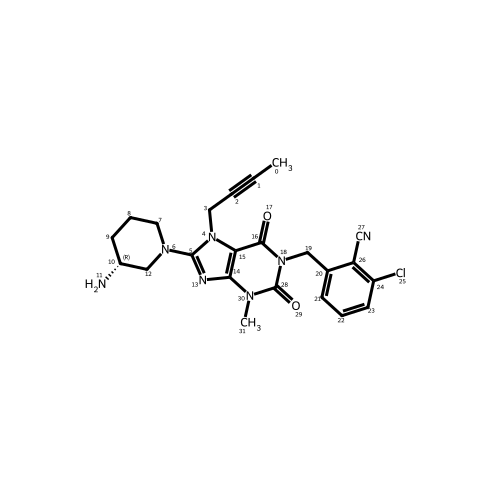 CC#CCn1c(N2CCC[C@@H](N)C2)nc2c1c(=O)n(Cc1cccc(Cl)c1C#N)c(=O)n2C